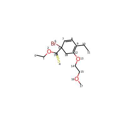 CCOC(=S)C1(Br)C=CC(CC)=C(OCCOC)C1